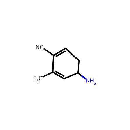 N#CC1=CCC(N)C=C1C(F)(F)F